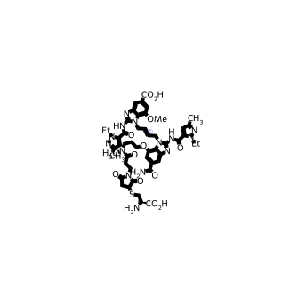 CCn1nc(C)cc1C(=O)Nc1nc2cc(C(=O)O)cc(OC)c2n1C/C=C/Cn1c(NC(=O)c2cc(C)nn2CC)nc2cc(C(N)=O)cc(OCCCN(C)C(=O)CCN3C(=O)CC(SC[C@H](N)C(=O)O)C3=O)c21